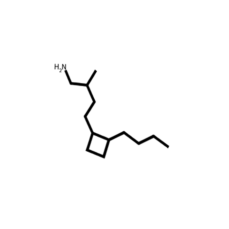 CCCCC1CCC1CCC(C)CN